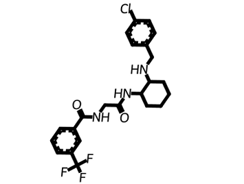 O=C(CNC(=O)c1cccc(C(F)(F)F)c1)NC1CCCCC1NCc1ccc(Cl)cc1